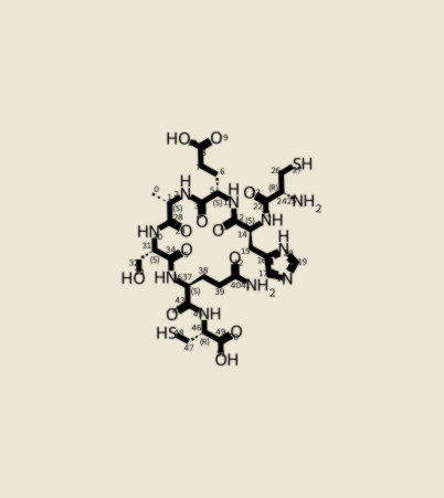 C[C@H](NC(=O)[C@H](CCC(=O)O)NC(=O)[C@H](Cc1cnc[nH]1)NC(=O)[C@@H](N)CS)C(=O)N[C@@H](CO)C(=O)N[C@@H](CCC(N)=O)C(=O)N[C@@H](CS)C(=O)O